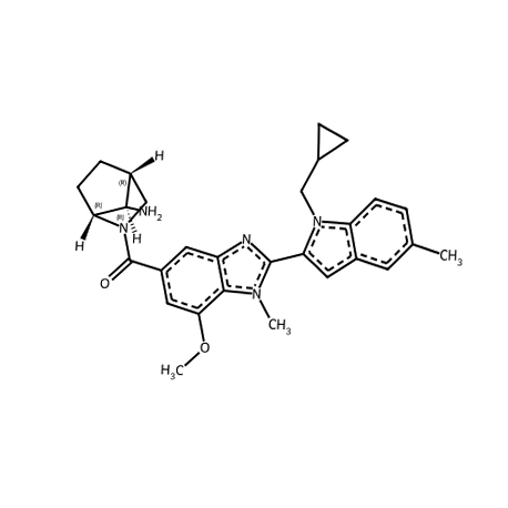 COc1cc(C(=O)N2C[C@H]3CC[C@@H]2[C@@H]3N)cc2nc(-c3cc4cc(C)ccc4n3CC3CC3)n(C)c12